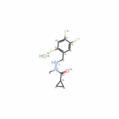 CN(NCc1cc(F)c(F)cc1F)C(=O)C1CC1.Cl